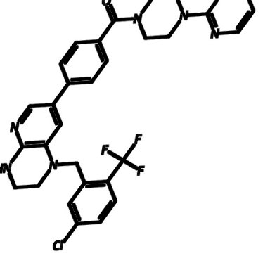 O=C(c1ccc(-c2cnc3c(c2)N(Cc2cc(Cl)ccc2C(F)(F)F)CCN3)cc1)N1CCN(c2ncccn2)CC1